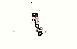 O=C(NCC1CCN(C(=O)Nc2ccccc2C(F)(F)F)CC1)NC12CC3CC(CC(C3)C1)C2